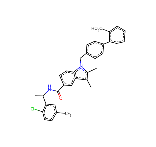 Cc1c(C)n(Cc2ccc(-c3ccccc3C(=O)O)cc2)c2ccc(C(=O)NC(C)c3cc(C(F)(F)F)ccc3Cl)cc12